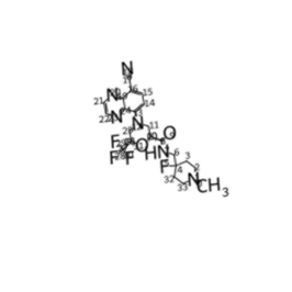 CN1CCC(F)(CNC(=O)[C@@H]2CN(c3ccc(C#N)c4nccnc34)C[C@H](C(F)(F)F)O2)CC1